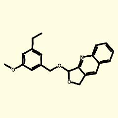 CCc1cc(COC2OCc3cc4ccccc4nc32)cc(OC)c1